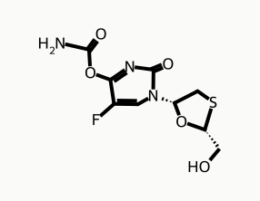 NC(=O)Oc1nc(=O)n([C@@H]2CS[C@H](CO)O2)cc1F